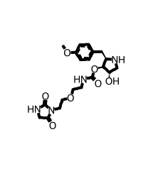 COc1ccc(C[C@H]2NC[C@H](O)[C@H]2OC(=O)NCCOCCN2C(=O)CNC2=O)cc1